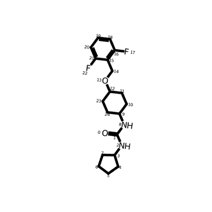 O=C(NC1CCCC1)NC1CCC(OCc2c(F)cccc2F)CC1